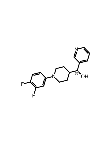 O[C@H](c1cccnc1)C1CCN(c2ccc(F)c(F)c2)CC1